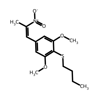 CCCCSc1c(OC)cc(C=C(C)[N+](=O)[O-])cc1OC